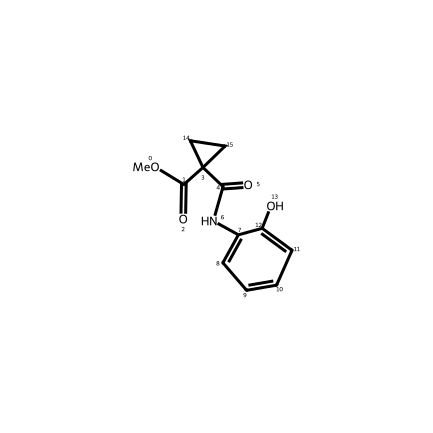 COC(=O)C1(C(=O)Nc2ccccc2O)CC1